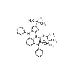 CC1=C(SC(C)C(C)(C)C)B2c3sc(C(C)(C)C)cc3N(c3ccccc3)c3cccc(c32)N1c1ccccc1